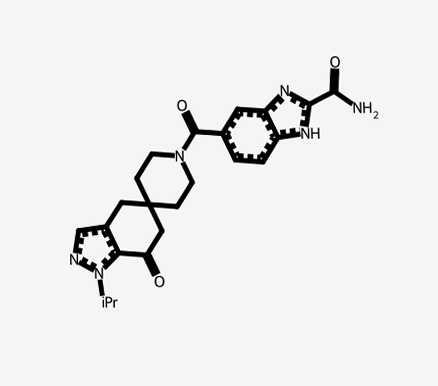 CC(C)n1ncc2c1C(=O)CC1(CCN(C(=O)c3ccc4[nH]c(C(N)=O)nc4c3)CC1)C2